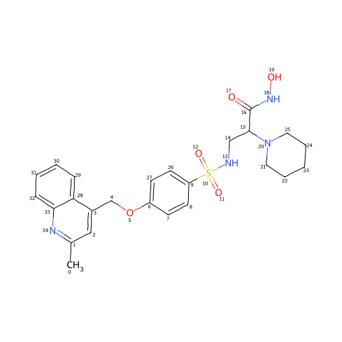 Cc1cc(COc2ccc(S(=O)(=O)NCC(C(=O)NO)N3CCCCC3)cc2)c2ccccc2n1